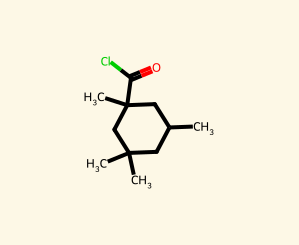 CC1CC(C)(C)CC(C)(C(=O)Cl)C1